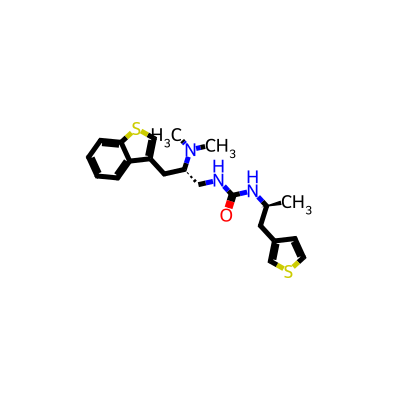 C[C@@H](Cc1ccsc1)NC(=O)NC[C@H](Cc1csc2ccccc12)N(C)C